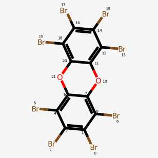 Brc1c(Br)c(Br)c2c(c1Br)Oc1c(Br)c(Br)c(Br)c(Br)c1O2